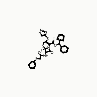 O=C(CSc1ccccc1)N[C@@H]1C(=O)N2C(C(=O)OC(c3ccccc3)c3ccccc3)=C(Sc3cnns3)CS[C@@H]12